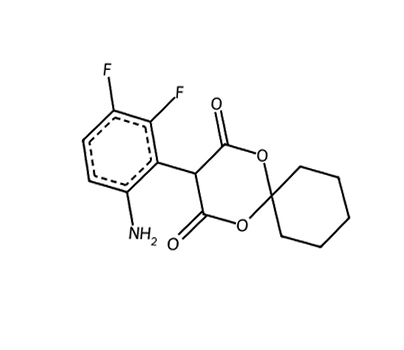 Nc1ccc(F)c(F)c1C1C(=O)OC2(CCCCC2)OC1=O